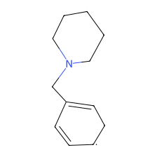 [CH]1C=CC(CN2CCCCC2)=CC1